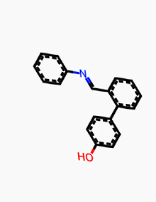 Oc1ccc(-c2ccccc2C=Nc2ccccc2)cc1